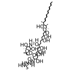 C/C=C/C=C/C=C/C=C/C=C/[C@H](C)[C@@H](O)[C@@H](C)[C@H](C)OC(=O)C[C@H](O)C[C@H](O)CC[C@@H](O)[C@H](O)C[C@H](O)C[C@]1(O)C[C@H](O)[C@@H](NC(=O)NNC(=S)NC)[C@H](C[C@H](/C=C/C)O[C@@H]2O[C@H](C)[C@@H](O)[C@H](N)[C@@H]2O)O1